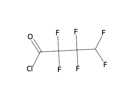 O=C(Cl)C(F)(F)C(F)(F)C(F)F